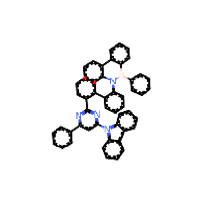 c1ccc(B2c3ccccc3-c3ccccc3N2c2ccccc2-c2ccccc2-c2nc(-c3ccccc3)cc(-n3c4ccccc4c4ccccc43)n2)cc1